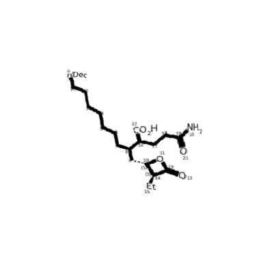 CCCCCCCCCCCCCCCCCC(C[C@@H]1OC(=O)[C@H]1CC)C(CCC(N)=O)C(=O)O